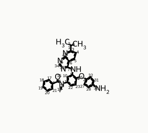 CC(C)c1ccc2c(Nc3cc(N(F)C(=O)c4ccccc4)ccc3Oc3ccc(N)cc3)ncnc2n1